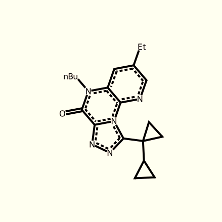 CCCCn1c(=O)c2nnc(C3(C4CC4)CC3)n2c2ncc(CC)cc21